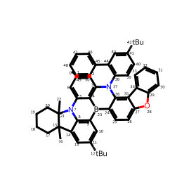 Cc1cc2c3c(c1)N1c4c(cc(C(C)(C)C)cc4C4(C)CCCCC14C)B3c1ccc3oc4ccccc4c3c1N2c1ccc(C(C)(C)C)cc1-c1ccccc1